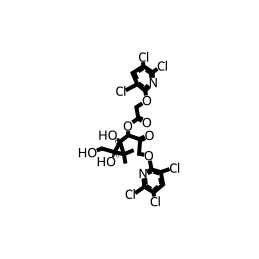 CC1(C)[C@@](O)(CO)[C@]1(O)C(OC(=O)COc1nc(Cl)c(Cl)cc1Cl)C(=O)COc1nc(Cl)c(Cl)cc1Cl